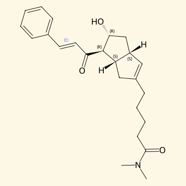 CN(C)C(=O)CCCCC1=C[C@H]2C[C@@H](O)[C@H](C(=O)/C=C/c3ccccc3)[C@H]2C1